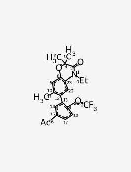 CCN1C(=O)C(C)(C)Oc2cc(C)c(-c3cc(C(C)=O)ccc3OC(F)(F)F)cc21